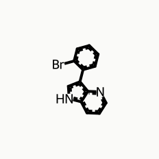 Brc1ccccc1-c1c[nH]c2cccnc12